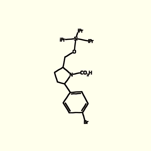 CC(C)[Si](OCC1CCC(c2ccc(Br)cc2)N1C(=O)O)(C(C)C)C(C)C